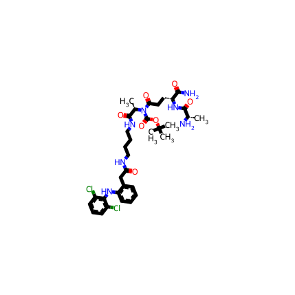 C[C@H](N)C(=O)N[C@H](CCC(=O)N(C(=O)OC(C)(C)C)[C@@H](C)C(=O)NCCCCNC(=O)Cc1ccccc1Nc1c(Cl)cccc1Cl)C(N)=O